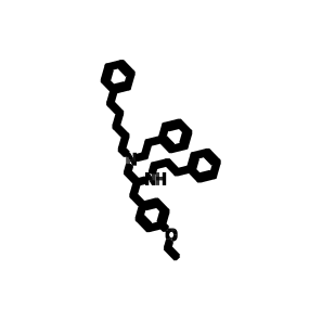 CCOc1ccc(CC(CN(CCCCCc2ccccc2)CCc2ccccc2)NCCCc2ccccc2)cc1